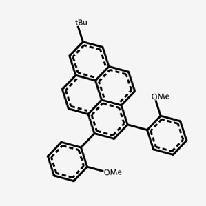 COc1ccccc1-c1cc(-c2ccccc2OC)c2ccc3cc(C(C)(C)C)cc4ccc1c2c43